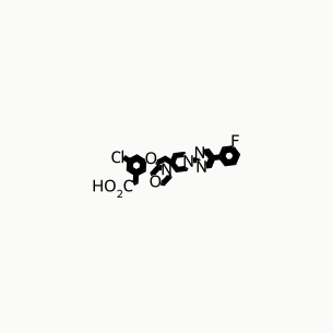 O=C(O)Cc1cc(Cl)cc(OCCC2(N3CCOCC3)CCN(c3ncc(-c4cccc(F)c4)cn3)CC2)c1